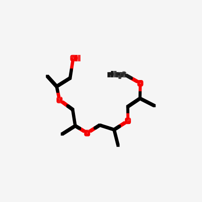 CCCCCCCOC(C)COC(C)COC(C)COC(C)CO